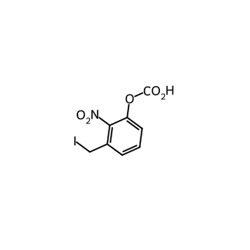 O=C(O)Oc1cccc(CI)c1[N+](=O)[O-]